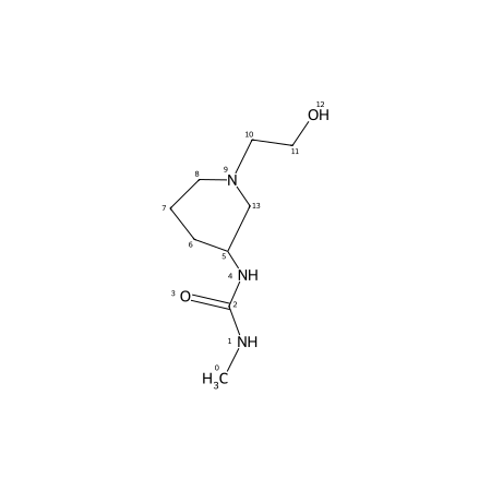 CNC(=O)NC1CCCN(CCO)C1